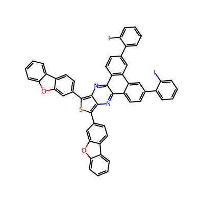 Ic1ccccc1-c1ccc2c(c1)c1cc(-c3ccccc3I)ccc1c1nc3c(-c4ccc5c(c4)oc4ccccc45)sc(-c4ccc5c(c4)oc4ccccc45)c3nc21